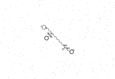 O=C(NCCCCCCCCN(CCCN1CCOCC1)S(=O)(=O)c1ccccc1)NCc1cccnc1